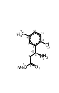 COC(=O)C[C@H](N)c1cc(C)ccc1Cl